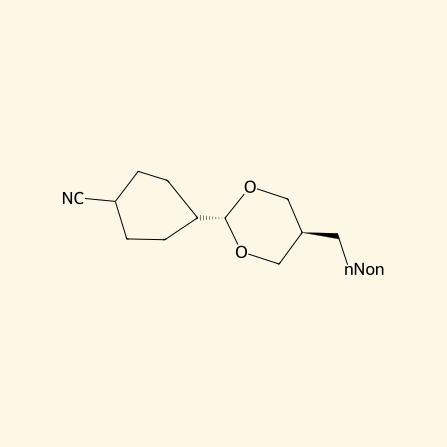 CCCCCCCCCC[C@H]1CO[C@H](C2CCC(C#N)CC2)OC1